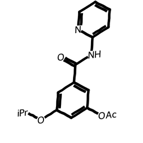 CC(=O)Oc1cc(OC(C)C)cc(C(=O)Nc2ccccn2)c1